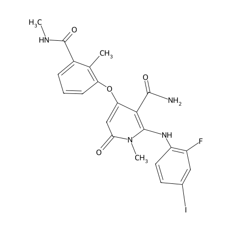 CNC(=O)c1cccc(Oc2cc(=O)n(C)c(Nc3ccc(I)cc3F)c2C(N)=O)c1C